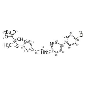 CC(C)(C)OC(=O)C(C)(C)Sc1nc(CCNc2ccc(-c3ccc(Cl)cc3)cn2)cs1